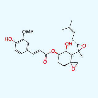 COc1cc(/C=C/C(=O)O[C@@H]2CC[C@]3(CO3)C(C3(C)O[C@H]3CC=C(C)C)[C@@H]2O)ccc1O